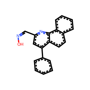 O/N=C\c1cc(-c2ccccc2)c2ccc3ccccc3c2n1